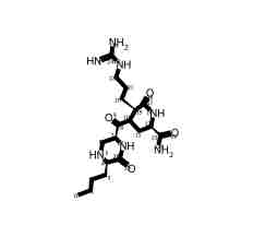 CCCC[C@H]1NC[C@@H](C(=O)C2C[C@H](C(N)=O)NC(=O)[C@@H]2CCCNC(=N)N)NC1=O